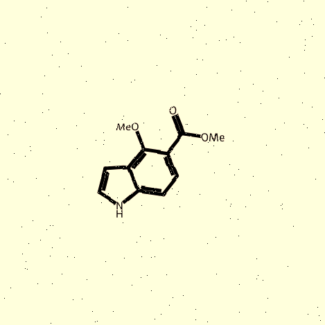 COC(=O)c1ccc2[nH]ccc2c1OC